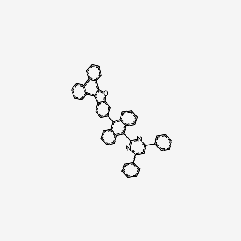 c1ccc(-c2cc(-c3ccccc3)nc(-c3c4ccccc4c(-c4ccc5c(c4)oc4c6ccccc6c6ccccc6c54)c4ccccc34)n2)cc1